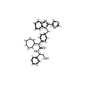 O=C(NC(CO)c1ccccc1)C(c1ccc(Cn2c(-c3cscn3)nc3ccccc32)cc1)C1CCCCCC1